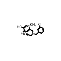 C#CCN(Cc1cccc(Cl)c1)Cc1cc(=O)c(O)cn1C